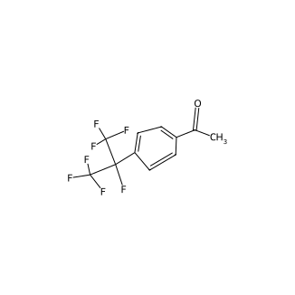 CC(=O)c1ccc(C(F)(C(F)(F)F)C(F)(F)F)cc1